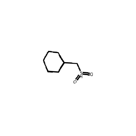 O=[SH](=O)CC1CCCCC1